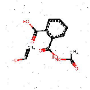 C=CO.CC(=O)O.O=C(O)c1ccccc1C(=O)O